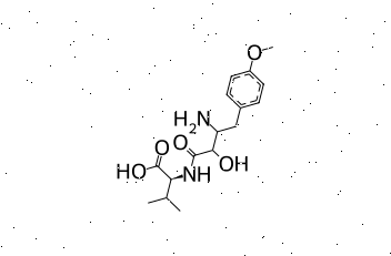 COc1ccc(CC(N)C(O)C(=O)N[C@H](C(=O)O)C(C)C)cc1